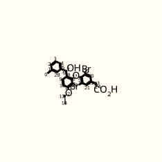 Cc1cccc(C(O)c2ccc(OCI)cc2Oc2c(Br)cc(CC(=O)O)cc2Br)c1